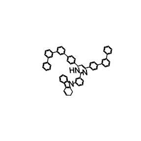 C1=Cc2c(n(-c3cccc(C4=NC(c5ccc(-c6cccc(-c7ccccc7)c6)cc5)=CC(c5ccc(-c6cccc(-c7cccc(-c8ccccc8)c7)c6)cc5)N4)c3)c3ccccc23)CC1